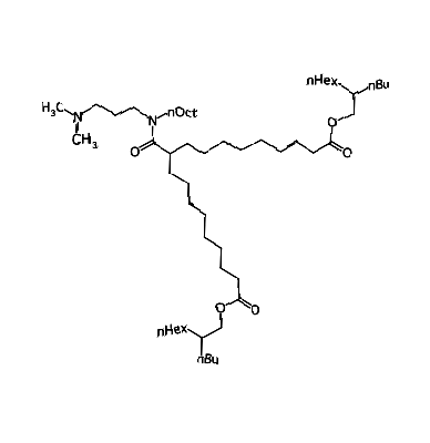 CCCCCCCCN(CCCN(C)C)C(=O)C(CCCCCCCCC(=O)OCC(CCCC)CCCCCC)CCCCCCCCC(=O)OCC(CCCC)CCCCCC